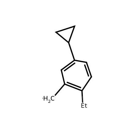 [CH2]c1cc(C2CC2)ccc1CC